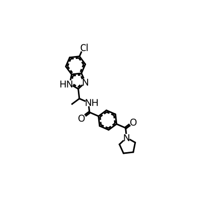 CC(NC(=O)c1ccc(C(=O)N2CCCC2)cc1)c1nc2cc(Cl)ccc2[nH]1